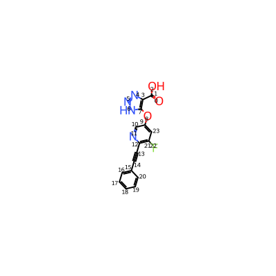 O=C(O)c1nn[nH]c1Oc1cnc(C#Cc2ccccc2)c(F)c1